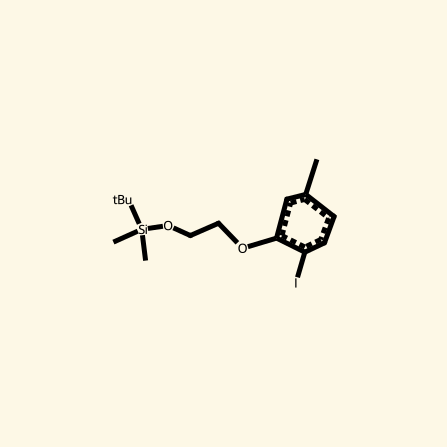 Cc1ccc(I)c(OCCO[Si](C)(C)C(C)(C)C)c1